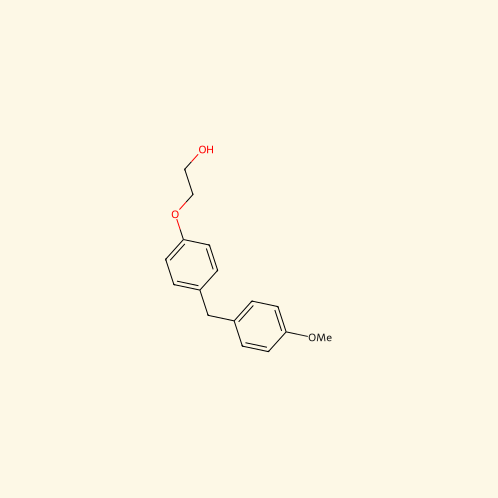 COc1ccc(Cc2ccc(OCCO)cc2)cc1